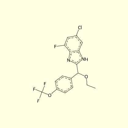 CCOC(c1ccc(OC(F)(F)F)cc1)c1nc2c(F)cc(Cl)cc2[nH]1